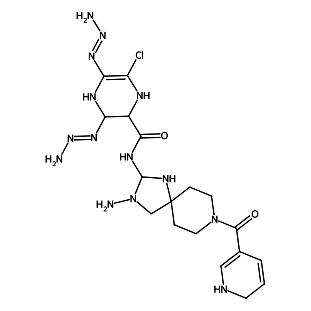 NN=NC1=C(Cl)NC(C(=O)NC2NC3(CCN(C(=O)C4=CNCC=C4)CC3)CN2N)C(N=NN)N1